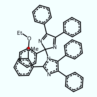 CCOc1ccccc1C1(n2c(-c3ccccc3OC)nc(-c3ccccc3)c2-c2ccccc2)N=C(c2ccccc2)C(c2ccccc2)=N1